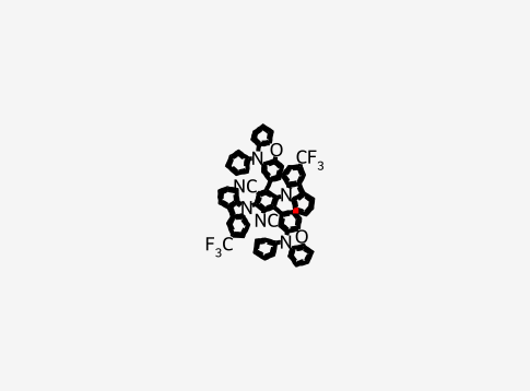 N#Cc1c(-c2ccc3c(c2)N(c2ccccc2)c2ccccc2O3)c(-n2c3ccccc3c3cc(C(F)(F)F)ccc32)c(-c2ccc3c(c2)N(c2ccccc2)c2ccccc2O3)c(C#N)c1-n1c2ccccc2c2cc(C(F)(F)F)ccc21